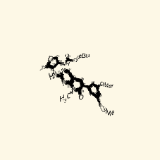 COc1cc(OC)cc(-c2cc3cnc(N[C@@H]4COCC4NC(=O)OC(C)(C)C)nc3n(C)c2=O)c1